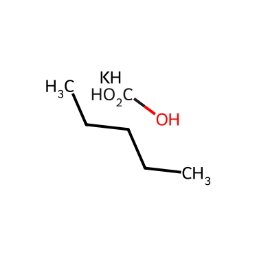 CCCCC.O=C(O)O.[KH]